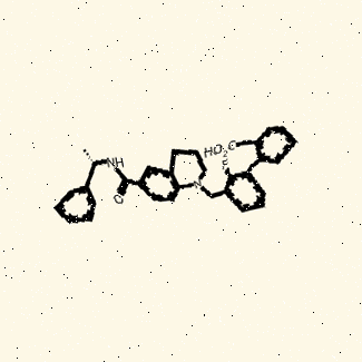 C[C@H](NC(=O)c1ccc2c(c1)CCCN2Cc1cccc(-c2ccccc2C(=O)O)c1F)c1ccccc1